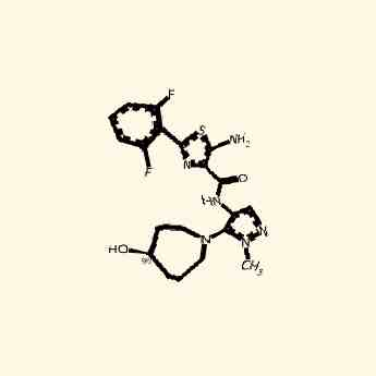 Cn1ncc(NC(=O)c2nc(-c3c(F)cccc3F)sc2N)c1N1CCC[C@@H](O)CC1